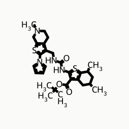 CC1Cc2c(sc(NC(=O)NCc3c(-n4cccc4)sc4c3CCN(C)C4)c2C(=O)OC(C)(C)C)C(C)C1